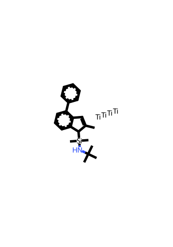 CC1=Cc2c(-c3ccccc3)cccc2C1[Si](C)(C)NC(C)(C)C.[Ti].[Ti].[Ti].[Ti]